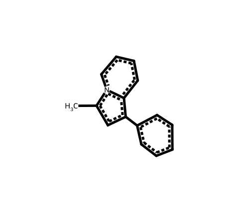 Cc1cc(-c2ccccc2)c2ccccn12